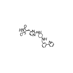 O=C1NC(=O)/C(=C/c2ccnc(N[C@H]3CC[C@H](NCc4cccc(-c5ccccn5)c4)CC3)n2)S1